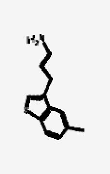 Cc1ccc2scc(CCCN)c2c1